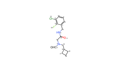 O=CN(CC(=O)NCc1cccc(Cl)c1F)CC1CCC1